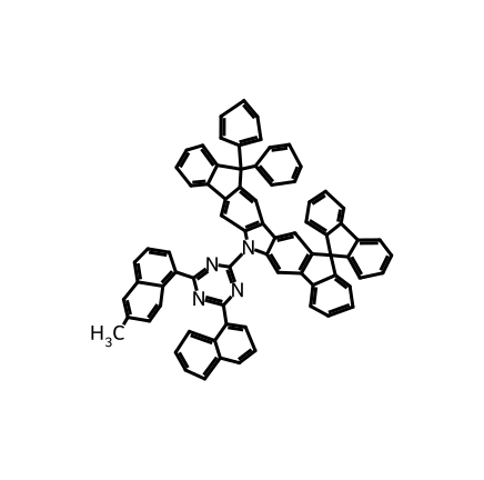 Cc1ccc2c(-c3nc(-c4cccc5ccccc45)nc(-n4c5cc6c(cc5c5cc7c(cc54)-c4ccccc4C74c5ccccc5-c5ccccc54)C(c4ccccc4)(c4ccccc4)c4ccccc4-6)n3)cccc2c1